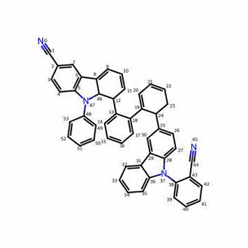 N#Cc1ccc2c(c1)C1=CC=CC(c3ccccc3C3=CC=CCC3c3ccc4c(c3)c3ccccc3n4-c3ccccc3C#N)C1N2c1ccccc1